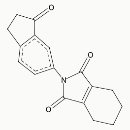 O=C1CCc2ccc(N3C(=O)C4=C(CCCC4)C3=O)cc21